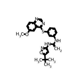 C=C(Nc1cccc(Sc2ncnc3ccc(OC)cc23)c1)Nc1cc(C(C)(C)C)on1